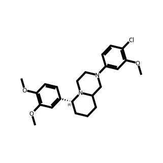 COc1cc(N2CCN3C(CCC[C@@H]3c3ccc(OC)c(OC)c3)C2)ccc1Cl